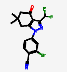 CC1(C)CC(=O)c2c(C(F)F)nn(-c3ccc(C#N)c(Br)c3)c2C1